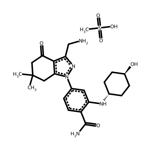 CC1(C)CC(=O)c2c(CN)nn(-c3ccc(C(N)=O)c(N[C@H]4CC[C@H](O)CC4)c3)c2C1.CS(=O)(=O)O